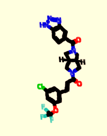 O=C(C=Cc1cc(Cl)cc(OC(F)(F)F)c1)N1C[C@@H]2CN(C(=O)c3ccc4[nH]nnc4c3)C[C@H]2C1